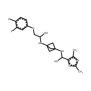 Cc1nc(C)c(C(O)NC23CC(NC(O)COc4ccc(Cl)c(F)c4)(C2)C3)o1